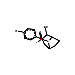 O=C(O)N1C2CCC1C(O)C(c1ccc(Br)cc1)C2